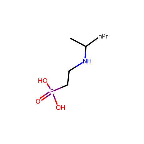 CCCC(C)NCCP(=O)(O)O